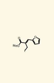 COC(=O)/C(=C/c1ccco1)CI